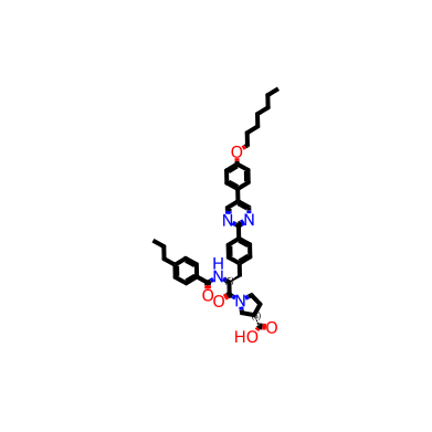 CCCCCCCOc1ccc(-c2cnc(-c3ccc(C[C@H](NC(=O)c4ccc(CCC)cc4)C(=O)N4CC[C@H](C(=O)O)C4)cc3)nc2)cc1